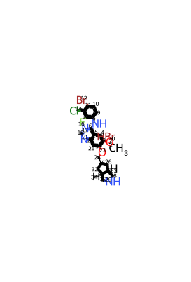 Br.COc1cc2c(Nc3ccc(Br)c(Cl)c3F)ncnc2cc1OC[C@H]1C[C@H]2CNC[C@H]2C1